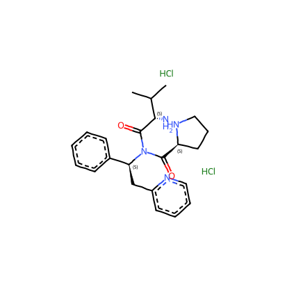 CC(C)[C@H](N)C(=O)N(C(=O)[C@@H]1CCCN1)[C@@H](Cc1ccccn1)c1ccccc1.Cl.Cl